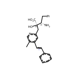 Cc1cnc(C[C@](O)(C(=O)O)[C@@H](N)CC(C)C)cc1/C=C/c1ccccc1